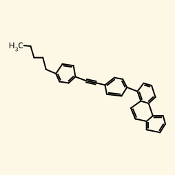 CCCCCc1ccc(C#Cc2ccc(-c3cccc4c3ccc3ccccc34)cc2)cc1